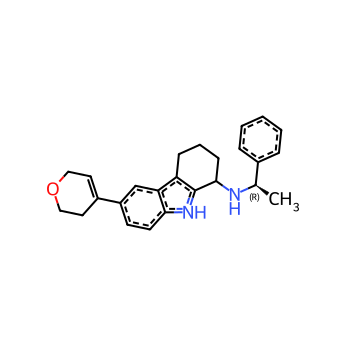 C[C@@H](NC1CCCc2c1[nH]c1ccc(C3=CCOCC3)cc21)c1ccccc1